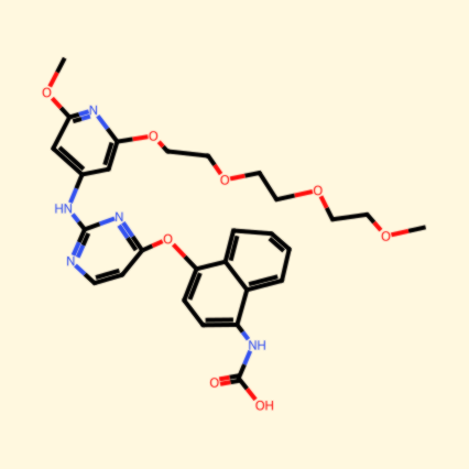 COCCOCCOCCOc1cc(Nc2nccc(Oc3ccc(NC(=O)O)c4ccccc34)n2)cc(OC)n1